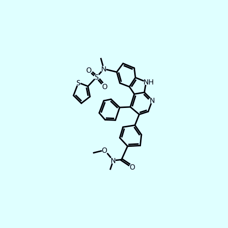 CON(C)C(=O)c1ccc(-c2cnc3[nH]c4ccc(N(C)S(=O)(=O)c5cccs5)cc4c3c2-c2ccccc2)cc1